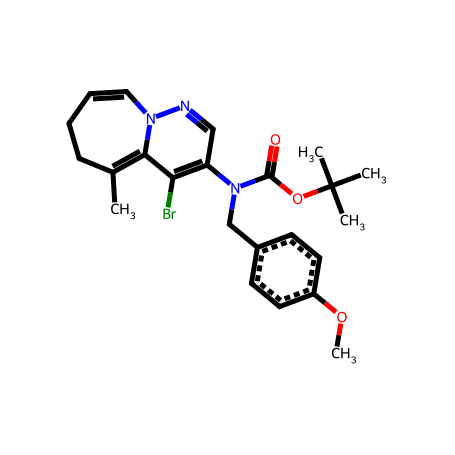 COc1ccc(CN(C(=O)OC(C)(C)C)C2=C(Br)C3=C(C)CCC=CN3N=C2)cc1